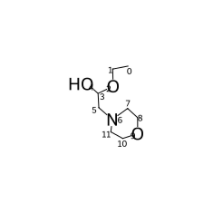 CCOC(O)CN1CCOCC1